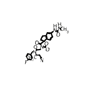 CNC(=O)Nc1ccc2c(c1)CCC21OC(=O)N(CC(=O)N(Cc2ccc(F)cc2)C(C)CC#N)C1=O